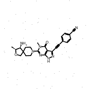 C[C@@H]1OCC2(CCN(c3nc4[nH]nc(C#Cc5ccc(C#N)cc5)c4c(=O)n3C)CC2)[C@@H]1N